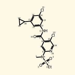 CCS(=O)(=O)N(C)c1cc(C(=O)Nc2cc(Cl)cc(C3CC3)c2)c(Cl)cn1